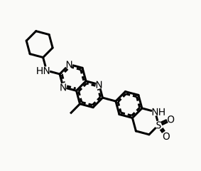 Cc1cc(-c2ccc3c(c2)CCS(=O)(=O)N3)nc2cnc(NC3CCCCC3)nc12